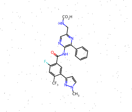 Cn1ccc(-c2cc(C(=O)Nc3ncc(CNC(=O)O)nc3-c3ccccc3)c(F)cc2C(F)(F)F)n1